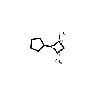 C[C@H]1C[C@H](C)P1C1CCCC1